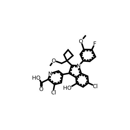 COCC1(c2c(-c3cnc(C(=O)O)c(Cl)c3)c3c(O)cc(Cl)cc3n2-c2ccc(F)c(OC)c2)CCC1